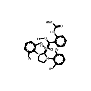 CC(C)COC(=O)Nc1ccccc1[C](OC(C)C)=[Ru]([Cl])([Cl])=[C]1N(c2c(C(C)C)cccc2C(C)C)CCN1c1c(C(C)C)cccc1C(C)C